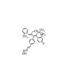 CCC(=C\c1ccccc1C)/C(=C(\CC(C)C)c1ccc(F)cc1Cl)c1ccc(/C=C/OOO)cc1